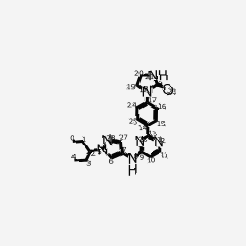 CCC(CC)n1cc(Nc2ccnc(-c3ccc(N4CCNC4=O)cc3)n2)cn1